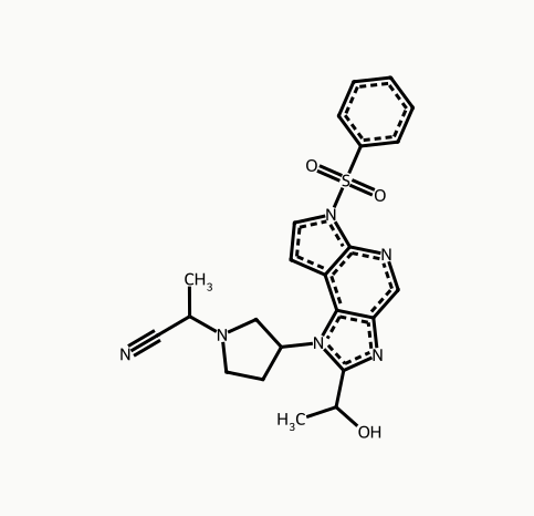 CC(O)c1nc2cnc3c(ccn3S(=O)(=O)c3ccccc3)c2n1C1CCN(C(C)C#N)C1